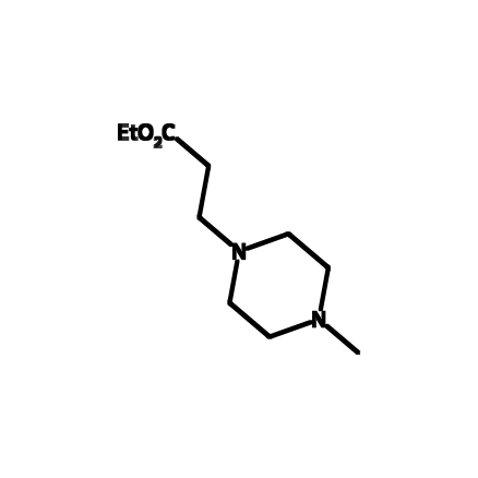 CCOC(=O)CCN1CCN(C)CC1